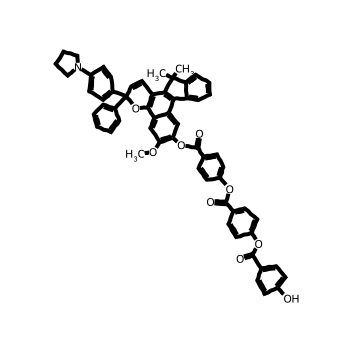 COc1cc2c3c(c4c(c2cc1OC(=O)c1ccc(OC(=O)c2ccc(OC(=O)c5ccc(O)cc5)cc2)cc1)-c1ccccc1C4(C)C)C=CC(c1ccccc1)(c1ccc(N2CCCC2)cc1)O3